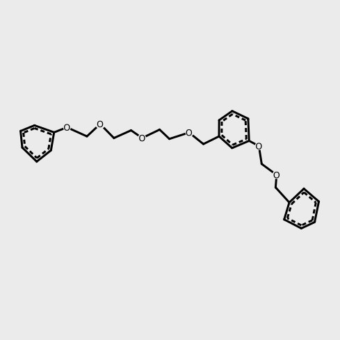 c1ccc(COCOc2cccc(COCCOCCOCOc3ccccc3)c2)cc1